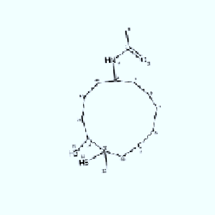 CC(=O)NC1CCCCCCC(C)(S)C(S)CCC1